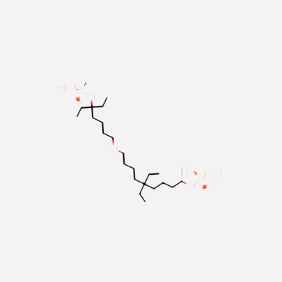 CCC(CC)(CCCCOCCCCC(CC)(CC)OP(C)(=O)O)CCCCOP(=O)(O)O